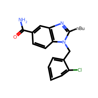 CCCCc1nc2cc(C(N)=O)ccc2n1Cc1ccccc1Cl